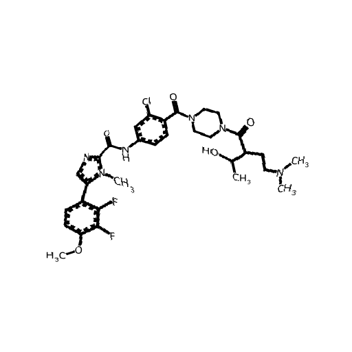 COc1ccc(-c2cnc(C(=O)Nc3ccc(C(=O)N4CCN(C(=O)C(CCN(C)C)C(C)O)CC4)c(Cl)c3)n2C)c(F)c1F